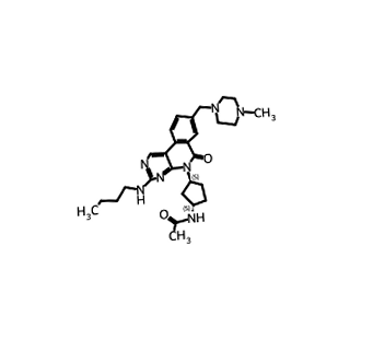 CCCCNc1ncc2c3ccc(CN4CCN(C)CC4)cc3c(=O)n([C@H]3CC[C@H](NC(C)=O)C3)c2n1